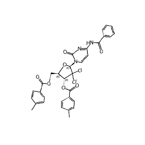 Cc1ccc(C(=O)OC[C@H]2O[C@@H](n3ccc(NC(=O)c4ccccc4)nc3=O)C(Cl)(Cl)[C@@H]2OC(=O)c2ccc(C)cc2)cc1